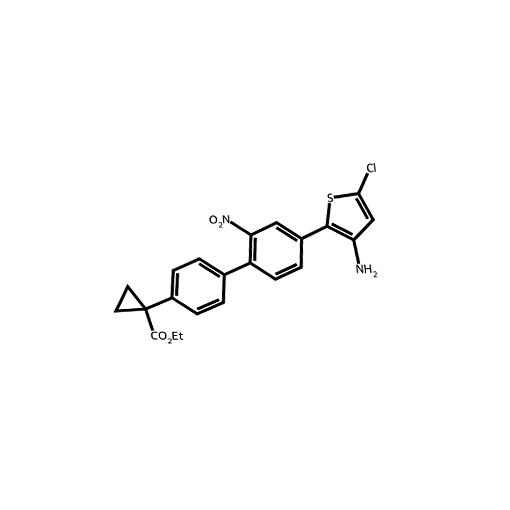 CCOC(=O)C1(c2ccc(-c3ccc(-c4sc(Cl)cc4N)cc3[N+](=O)[O-])cc2)CC1